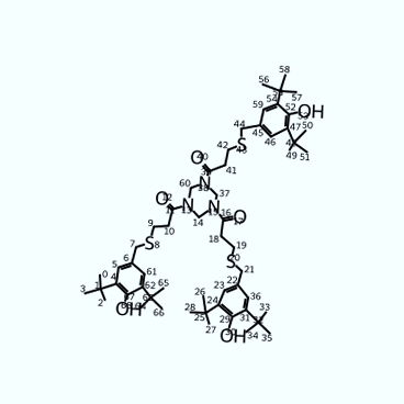 CC(C)(C)c1cc(CSCCC(=O)N2CN(C(=O)CCSCc3cc(C(C)(C)C)c(O)c(C(C)(C)C)c3)CN(C(=O)CCSCc3cc(C(C)(C)C)c(O)c(C(C)(C)C)c3)C2)cc(C(C)(C)C)c1O